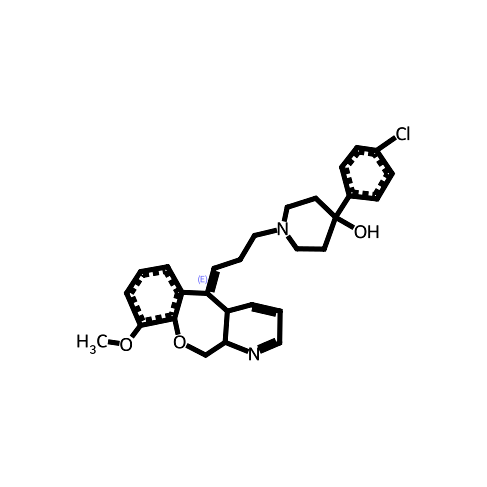 COc1cccc2c1OCC1N=CC=CC1/C2=C\CCN1CCC(O)(c2ccc(Cl)cc2)CC1